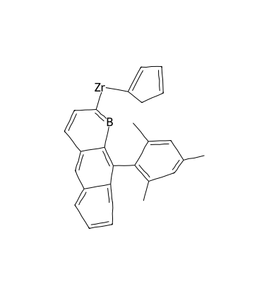 Cc1cc(C)c(-c2c3b[c]([Zr][C]4=CC=CC4)ccc3cc3ccccc23)c(C)c1